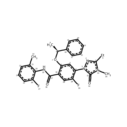 CCc1nn(-c2cc(O[C@@H](C)c3ccccc3)c(C(=O)Nc3c(C)cccc3F)cc2F)c(=O)n1C